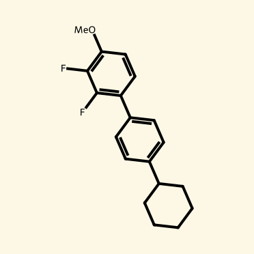 COc1ccc(-c2ccc(C3CCCCC3)cc2)c(F)c1F